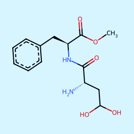 COC(=O)[C@H](Cc1ccccc1)NC(=O)[C@@H](N)CC(O)O